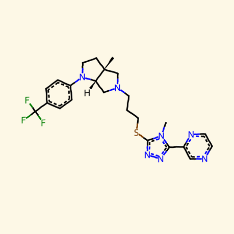 Cn1c(SCCCN2C[C@@H]3N(c4ccc(C(F)(F)F)cc4)CC[C@]3(C)C2)nnc1-c1cnccn1